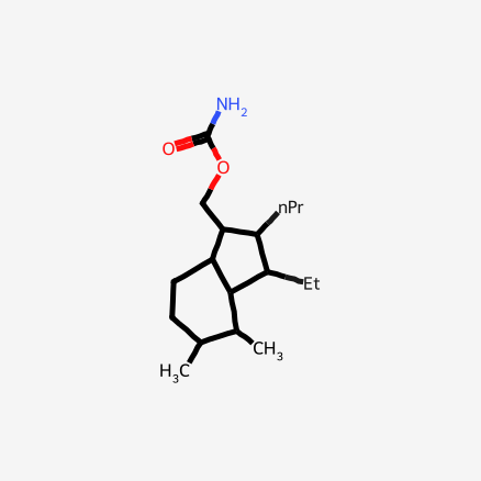 CCCC1C(COC(N)=O)C2CCC(C)C(C)C2C1CC